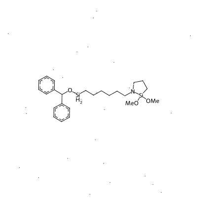 CO[Si]1(OC)CCCN1CCCCCC[SiH2]OC(c1ccccc1)c1ccccc1